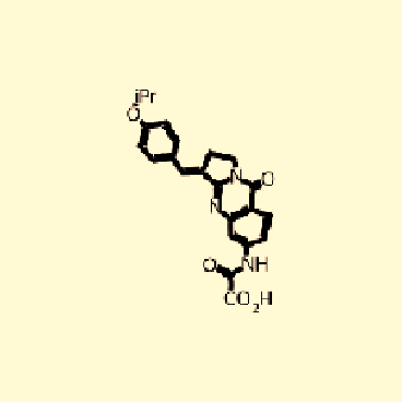 CC(C)Oc1ccc(C=C2CCn3c2nc2cc(NC(=O)C(=O)O)ccc2c3=O)cc1